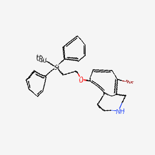 CC(C)(C)[Si](CCOc1ccc(Br)c2c1CCNC2)(c1ccccc1)c1ccccc1